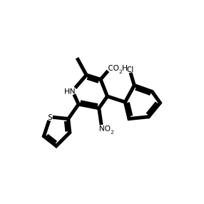 CC1=C(C(=O)O)C(c2ccccc2Cl)C([N+](=O)[O-])=C(c2cccs2)N1